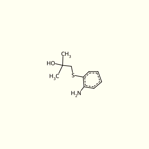 CC(C)(O)CSc1ccccc1N